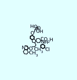 C[C@@H](COc1ccnc2c1[C@H](C)CCC2)CC1Cc2ccc(OCCP(=O)(O)O)cc2C12CCC(Nc1cccc(Cl)c1)(C(=O)O)CC2